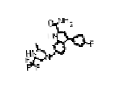 CC1CN(Cc2ccc3c(c2)NC(C(N)=O)C=C3c2ccc(F)cc2)CC(C(F)(F)F)N1